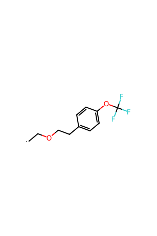 [CH2]COCCc1ccc(OC(F)(F)F)cc1